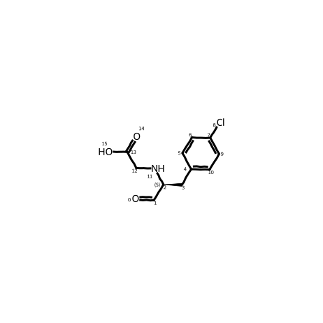 O=C[C@H](Cc1ccc(Cl)cc1)NCC(=O)O